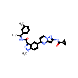 Cc1cccc([C@H](C)NC(=O)c2nn(C)c3ccc(-c4ccn5nc(NC(=O)C6CC6)cc5n4)cc23)c1